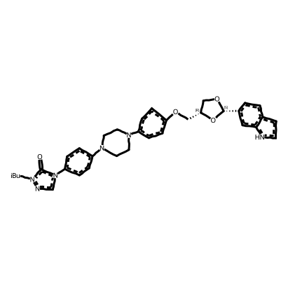 CCC(C)n1ncn(-c2ccc(N3CCN(c4ccc(OC[C@@H]5CO[C@H](c6ccc7cc[nH]c7c6)O5)cc4)CC3)cc2)c1=O